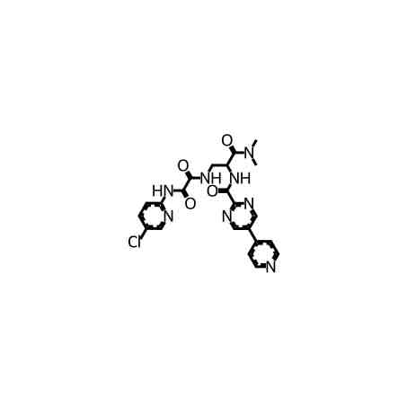 CN(C)C(=O)C(CNC(=O)C(=O)Nc1ccc(Cl)cn1)NC(=O)c1ncc(-c2ccncc2)cn1